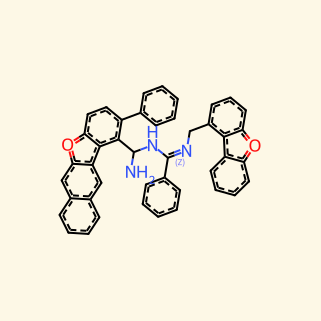 NC(N/C(=N\Cc1cccc2oc3ccccc3c12)c1ccccc1)c1c(-c2ccccc2)ccc2oc3cc4ccccc4cc3c12